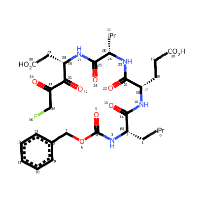 CC(C)C[C@H](NC(=O)OCc1ccccc1)C(=O)N[C@@H](CCC(=O)O)C(=O)N[C@H](C(=O)N[C@@H](CC(=O)O)C(=O)C(=O)CF)C(C)C